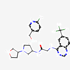 O=C(CNc1ncnc2ccc(C(F)(F)F)cc12)NC1CN(C2CCOC2)C[C@@H]1OCc1ccc(F)nc1